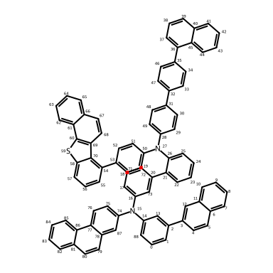 c1cc(-c2ccc3ccccc3c2)cc(N(c2cccc(-c3ccccc3N(c3ccc(-c4ccc(-c5cccc6ccccc56)cc4)cc3)c3ccc(-c4cccc5sc6c7ccccc7ccc6c45)cc3)c2)c2ccc3c(ccc4ccccc43)c2)c1